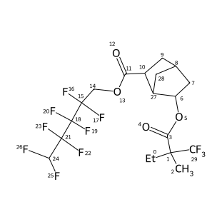 CCC(C)(C(=O)OC1CC2CC(C(=O)OCC(F)(F)C(F)(F)C(F)(F)C(F)F)C1C2)C(F)(F)F